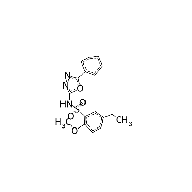 CCc1ccc(OC)c(S(=O)(=O)Nc2nnc(-c3ccccc3)o2)c1